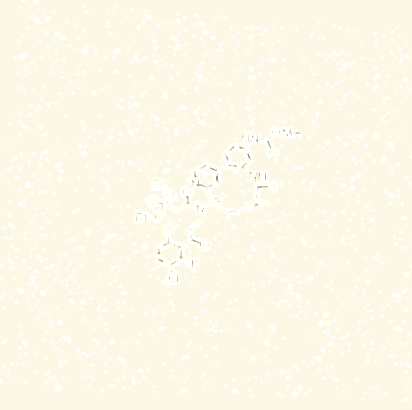 CCOP(=O)(CC(=O)N(CCC(=O)c1c(F)ccc(Cl)c1F)[C@H]1CCC[C@@H](C)C(=O)Nc2cc(NC(=O)OC)ccc2-c2ccnc1c2)OCC